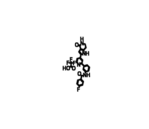 O=C(Nc1cccc(-c2cc(-c3cc4c([nH]3)CCNC4=O)ccn2)c1)c1ccc(F)cc1.O=C(O)C(F)(F)F